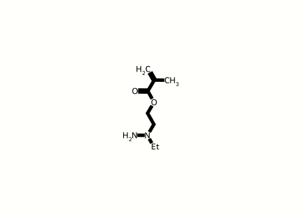 C=C(C)C(=O)OCCN(N)CC